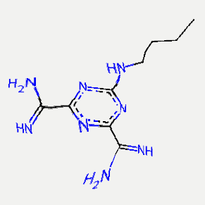 CCCCNc1nc(C(=N)N)nc(C(=N)N)n1